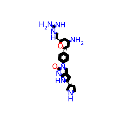 N=C(N)NCC[C@H]1CC(N)C[C@H](c2ccc(-n3cc4cc([C@@H]5CCNC5)[nH]c4nc3=O)cc2)O1